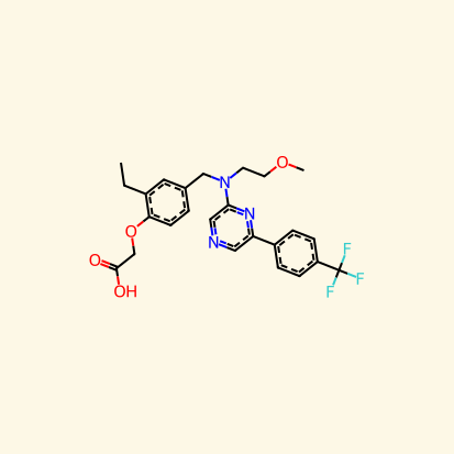 CCc1cc(CN(CCOC)c2cncc(-c3ccc(C(F)(F)F)cc3)n2)ccc1OCC(=O)O